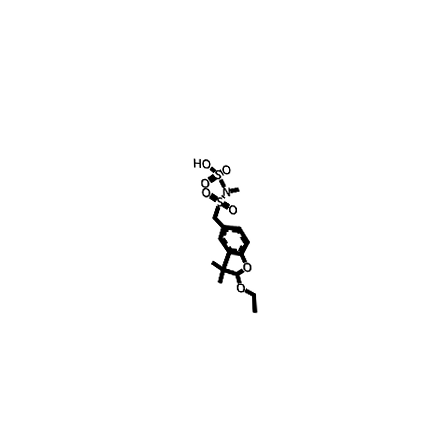 CCOC1Oc2ccc(CS(=O)(=O)N(C)S(=O)(=O)O)cc2C1(C)C